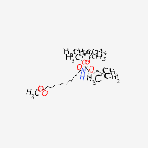 COC(=O)CCCCCCCCCCC(=O)NC(COCCC(C)(C)C)(COCCC(C)(C)C)COCCC(C)(C)C